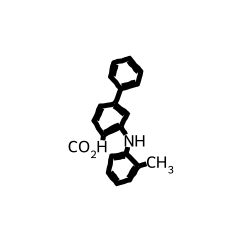 Cc1ccccc1Nc1cc(-c2ccccc2)ccc1C(=O)O